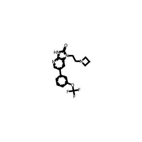 O=c1[nH]c2ncc(-c3cccc(OC(F)(F)F)c3)cc2n1CCN1CCC1